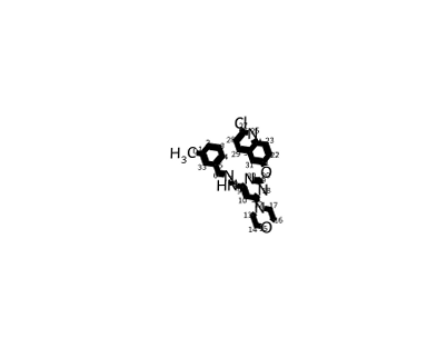 Cc1cccc(/C=N/Nc2cc(N3CCOCC3)nc(Oc3ccc4nc(Cl)ccc4c3)n2)c1